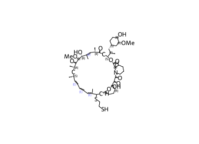 CO[C@@H]1C[C@H](C[C@@H](C)[C@@H]2CC(=O)[C@H](C)/C=C(\C)[C@@H](O)[C@@H](OC)C(=O)[C@H](C)C[C@H](C)/C=C/C=C/C=C(\C)C(SCCS)C[C@@H]3CC[C@@H](C)[C@@](O)(O3)C(=O)C(=O)N3CCCC[C@H]3C(=O)O2)CC[C@H]1O